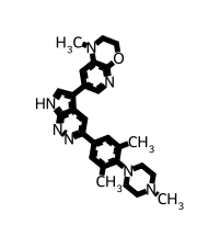 Cc1cc(-c2cc3c(-c4cnc5c(c4)N(C)CCO5)c[nH]c3nn2)cc(C)c1N1CCN(C)CC1